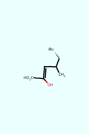 CC[C@@H](C)CC(C)C=C(O)C(=O)O